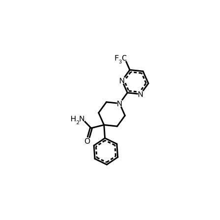 NC(=O)C1(c2ccccc2)CCN(c2nccc(C(F)(F)F)n2)CC1